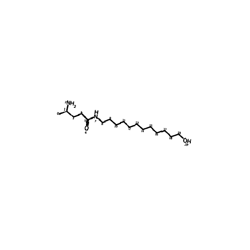 C[C@@H](N)CCC(=O)NCCCCCCCCCCCCO